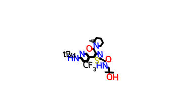 C[C@H]1CCCCN1C(=O)c1nc(C(=O)NCC(C)(C)O)sc1-c1cnc(NC(C)(C)C)cc1C(F)(F)F